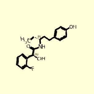 CC[C@H](CCc1ccc(O)cc1)NC(=O)[C@@H](O)c1ccccc1F